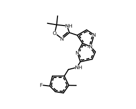 Cc1ccc(F)cc1CNc1ccn2ncc(C3=NOC(C)(C)N3)c2n1